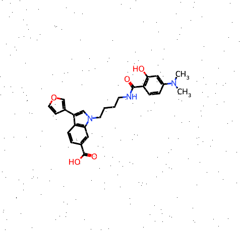 CN(C)c1ccc(C(=O)NCCCCn2cc(-c3ccoc3)c3ccc(C(=O)O)cc32)c(O)c1